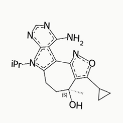 CC(C)n1c2c(c3c(N)ncnc31)-c1noc(C3CC3)c1[C@@](C)(O)CC2